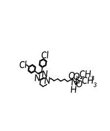 CC(C)S(=O)(=O)NC(=O)CCCCCCN1CCCc2nc(-c3ccc(Cl)cc3)c(-c3ccc(Cl)cc3)nc21